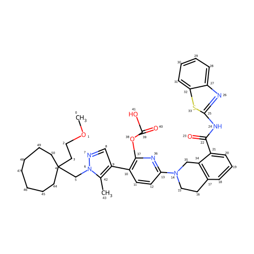 COCCC1(Cn2ncc(-c3ccc(N4CCc5cccc(C(=O)Nc6nc7ccccc7s6)c5C4)nc3OC(=O)O)c2C)CCCCCCC1